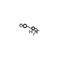 COc1ccc(CCc2ccc(CC(C)N)cc2)cc1